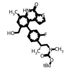 Cc1cc(CO)c(-c2ccc([C@@H](C)CN(C)C(=O)OC(C)(C)C)c(F)c2)c2c1[nH]c(=O)c1sccc12